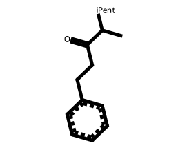 CCCC(C)C(C)C(=O)CCc1ccccc1